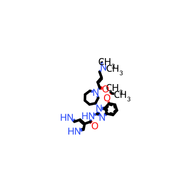 CC(C)Oc1cccc2nc(NC(=O)/C(C=N)=C/C=N)n(C3CCCCN(C(=O)/C=C/CN(C)C)C3)c12